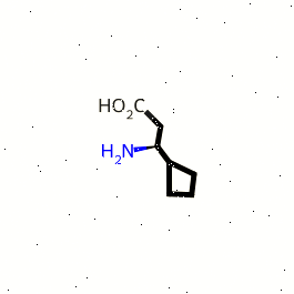 N[C@@H](CC(=O)O)C1CCC1